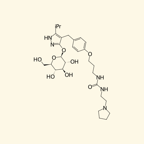 CC(C)c1[nH]nc(O[C@@H]2O[C@H](CO)[C@@H](O)[C@H](O)[C@H]2O)c1Cc1ccc(OCCCNC(=O)NCCN2CCCC2)cc1